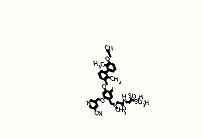 C#CCOc1cccc(-c2cccc(COc3cc(OCc4cncc(C#N)c4)c(CN(C)CC(=O)NCC(S(=O)(=O)O)S(=O)(=O)O)cc3I)c2C)c1C